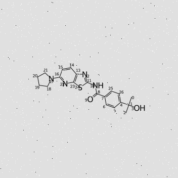 CC(C)(O)c1ccc(C(=O)Nc2nc3ccc(N4CCCC4)nc3s2)cc1